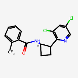 O=C(N[C@@H]1CCC1c1ncc(Cl)cc1Cl)c1ccccc1C(F)(F)F